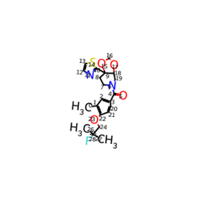 Cc1cc(C(=O)N2CCC3(c4nccs4)OCOC3C2)ccc1OCC(C)(C)F